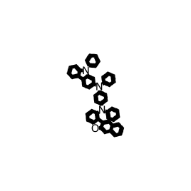 c1ccc(N(c2ccc(N(c3ccccc3)c3cccc4oc5cc6ccccc6cc5c34)cc2)c2ccc3c4ccccc4n(-c4ccccc4)c3c2)cc1